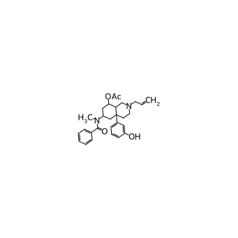 C=CCN1CCC2(c3cccc(O)c3)CC(N(C)C(=O)c3ccccc3)CC(OC(C)=O)C2C1